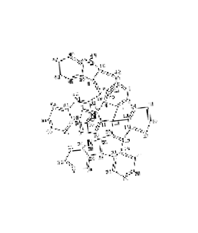 c1ccc2c(c1)-c1ccccc1C21c2ccccc2-c2c1c1c(c3ccccc23)c2ccccc2n1-c1nc(-c2cccc3sc4ccccc4c23)nc2ccccc12